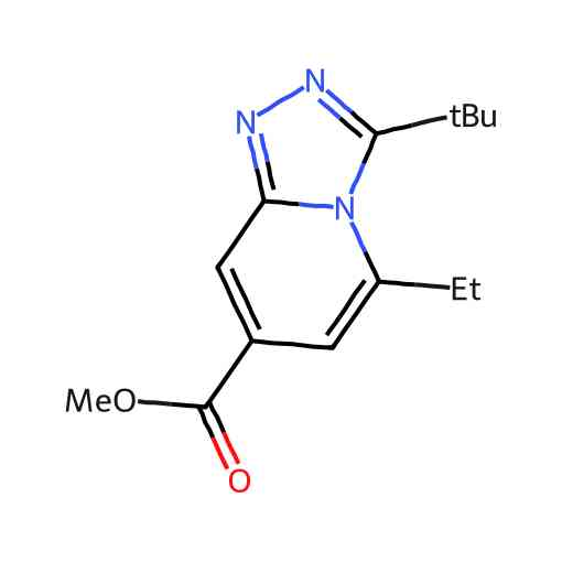 CCc1cc(C(=O)OC)cc2nnc(C(C)(C)C)n12